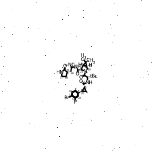 CC(C)(C)[C@H](NC(=O)[C@@H]1C[C@H]1c1ccc(Br)c(F)c1)C(=O)N1C[C@H]2[C@@H]([C@H]1C(=O)N[C@H](C#N)C[C@@H]1CCNC1=O)C2(C)C